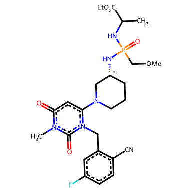 CCOC(=O)C(C)NP(=O)(COC)N[C@@H]1CCCN(c2cc(=O)n(C)c(=O)n2Cc2cc(F)ccc2C#N)C1